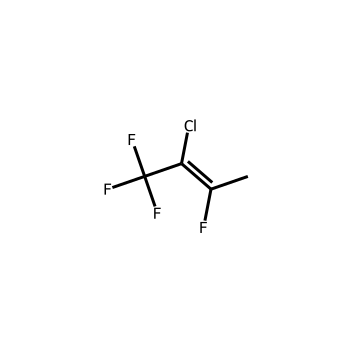 CC(F)=C(Cl)C(F)(F)F